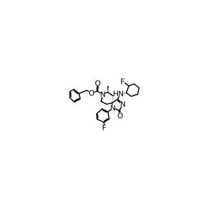 C[C@H]1C[C@]2(CCN1C(=O)OCc1ccccc1)C(N[C@H]1CCCCC1F)=NC(=O)N2c1cccc(F)c1